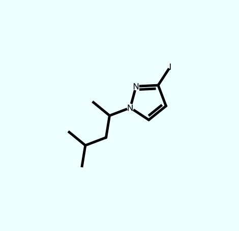 CC(C)CC(C)n1ccc(I)n1